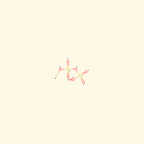 O=S(=O)(O)OS(=O)(=O)OF